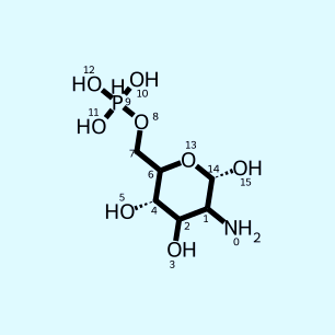 NC1C(O)[C@H](O)C(CO[PH](O)(O)O)O[C@@H]1O